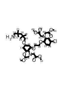 COC(=O)CN(CC(=O)OC)c1ccc(OCC(C)(C)CC(C)(C)CN)cc1OCCOc1ccc(Cl)cc1N(CC(=O)OC)CC(=O)OC